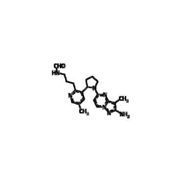 Cc1cnc(CCCNC=O)c(C2CCCN2c2ccn3nc(N)c(C)c3n2)c1